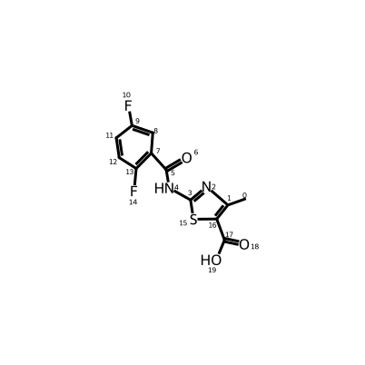 Cc1nc(NC(=O)c2cc(F)ccc2F)sc1C(=O)O